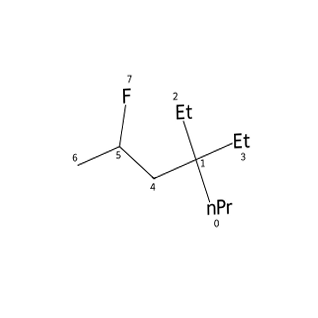 CCCC(CC)(CC)CC(C)F